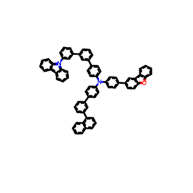 c1cc(-c2ccc(N(c3ccc(-c4cccc(-c5cccc6ccccc56)c4)cc3)c3ccc(-c4ccc5oc6ccccc6c5c4)cc3)cc2)cc(-c2cccc(-n3c4ccccc4c4ccccc43)c2)c1